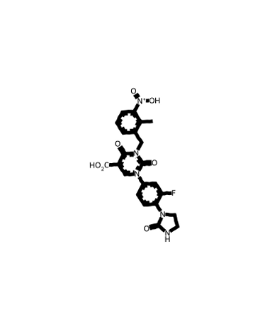 Cc1c(Cn2c(=O)c(C(=O)O)cn(-c3ccc(N4CCNC4=O)c(F)c3)c2=O)cccc1[N+](=O)O